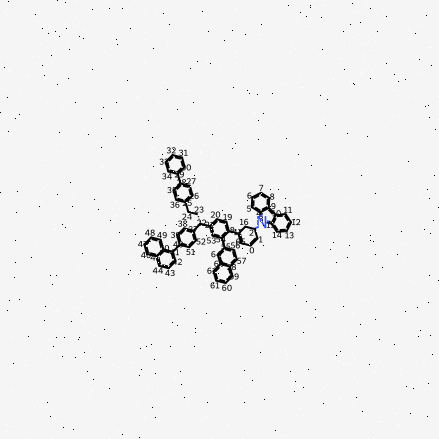 C1=CC(n2c3ccccc3c3ccccc32)CC(c2ccc([C@@H](CCc3ccc(-c4ccccc4)cc3)c3ccc(-c4cccc5ccccc45)cc3)cc2-c2ccc3ccccc3c2)=C1